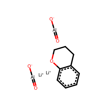 [Li+].[Li+].[O]=[Al][O-].[O]=[Al][O-].c1ccc2c(c1)CCCO2